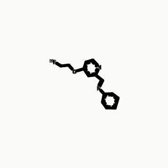 [18F]CCOc1ccnc(/C=N/c2ccccc2)c1